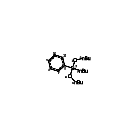 CCCCO[Si](CCCC)(OCCCC)c1ccccc1